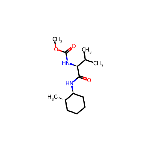 COC(=O)N[C@H](C(=O)N[C@H]1CCCC[C@@H]1C)C(C)C